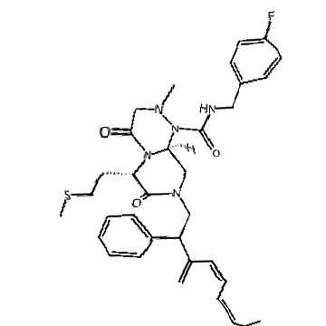 C=C(/C=C\C=C/C)C(CN1C[C@H]2N(C(=O)CN(C)N2C(=O)NCc2ccc(F)cc2)[C@@H](CCSC)C1=O)c1ccccc1